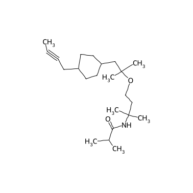 CC#CCC1CCC(CC(C)(C)OCCC(C)(C)NC(=O)C(C)C)CC1